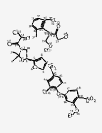 CC1(C)OC(c2ccco2)CN1C(=O)C(Cl)Cl.CCOCN(C(=O)CCl)c1c(C)cccc1CC.CCOc1cc(Oc2ccc(C(F)(F)F)cc2Cl)ccc1[N+](=O)[O-]